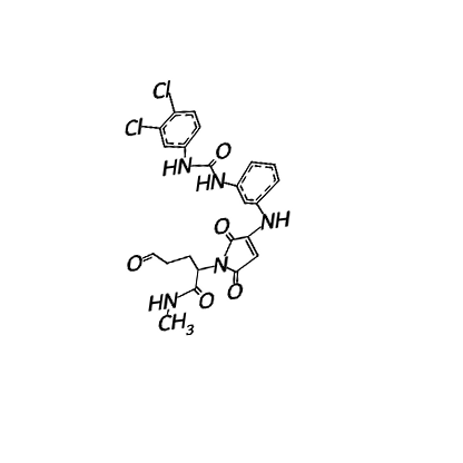 CNC(=O)C(CCC=O)N1C(=O)C=C(Nc2cccc(NC(=O)Nc3ccc(Cl)c(Cl)c3)c2)C1=O